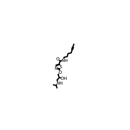 CC#CCCCCNC(=O)c1cnc(OCC(O)CNC(C)C)s1